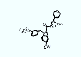 N#Cc1ccc2c(c1)cc(C(=O)NCC(O)C1CCOCC1)n2Cc1cccc(OC(F)(F)F)c1